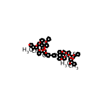 CC1(C)c2ccccc2-c2ccc(N(c3ccccc3-c3cccc4c3oc3ccc(-c5ccc(N6c7ccccc7C7(c8ccccc8-c8c(N(c9ccc%10c(c9)C(C)(C)c9ccccc9-%10)c9ccccc9-c9cccc%10c9sc9ccccc9%10)cccc87)c7ccccc76)cc5)cc34)c3cccc4c3-c3ccccc3C43c4ccccc4N(c4ccccc4)c4ccccc43)cc21